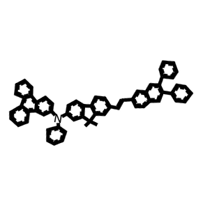 CC1(C)c2cc(/C=C/c3ccc4cc(-c5ccccc5)c(-c5ccccc5)cc4c3)ccc2-c2ccc(N(c3ccccc3)c3ccc4c5ccccc5c5ccccc5c4c3)cc21